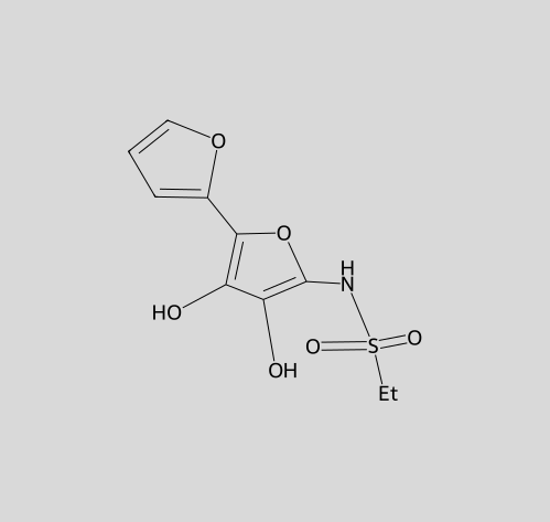 CCS(=O)(=O)Nc1oc(-c2ccco2)c(O)c1O